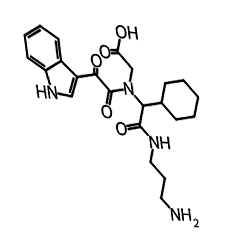 NCCCNC(=O)C(C1CCCCC1)N(CC(=O)O)C(=O)C(=O)c1c[nH]c2ccccc12